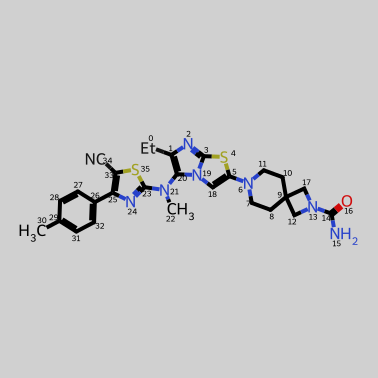 CCc1nc2sc(N3CCC4(CC3)CN(C(N)=O)C4)cn2c1N(C)c1nc(-c2ccc(C)cc2)c(C#N)s1